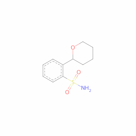 NS(=O)(=O)c1ccccc1C1CCCCO1